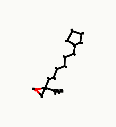 CCOC(=O)C1(CCCCCCC2CCCC2)CO1